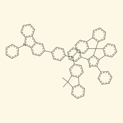 CC1(C)c2ccccc2-c2ccc(N(c3ccc(-c4ccc5c(c4)c4ccccc4n5-c4ccccc4)cc3)c3ccc4c(c3)C3(c5ccccc5-4)c4ccccc4-c4c(-c5ccccc5)sc(-c5ccccc5)c43)cc21